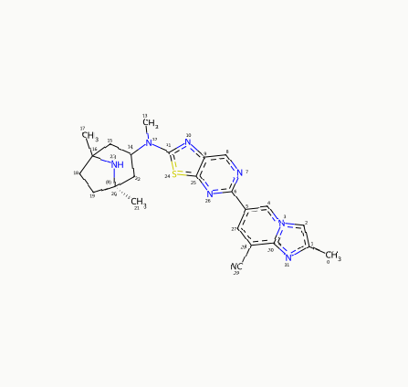 Cc1cn2cc(-c3ncc4nc(N(C)C5CC6(C)CC[C@](C)(C5)N6)sc4n3)cc(C#N)c2n1